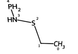 CCSNP